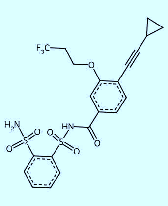 NS(=O)(=O)c1ccccc1S(=O)(=O)NC(=O)c1ccc(C#CC2CC2)c(OCCC(F)(F)F)c1